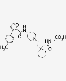 Cc1ccc(-c2ccoc2C(=O)NC2CCN(CCC3(CC(=O)NCC(=O)O)CCCCC3)CC2)cc1